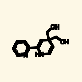 OCC1(CO)C=CNC(c2ccccn2)=C1